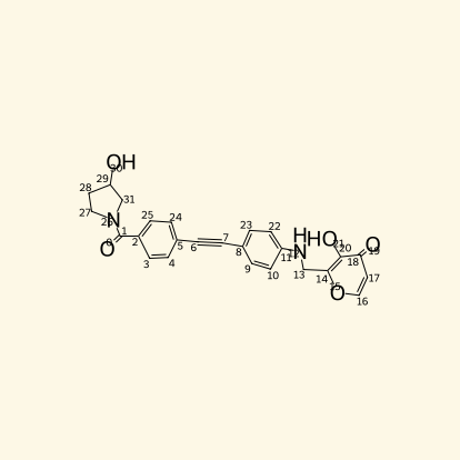 O=C(c1ccc(C#Cc2ccc(NCc3occc(=O)c3O)cc2)cc1)N1CCC(O)C1